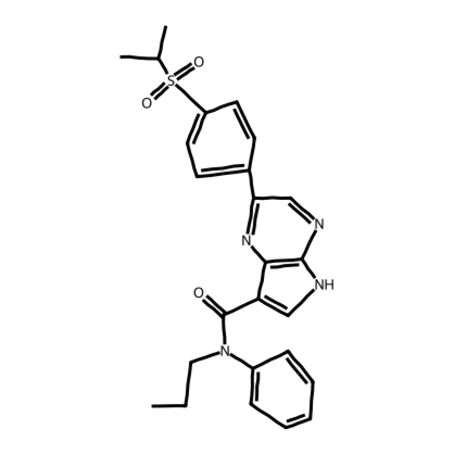 CCCN(C(=O)c1c[nH]c2ncc(-c3ccc(S(=O)(=O)C(C)C)cc3)nc12)c1ccccc1